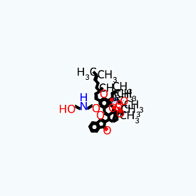 COC(=O)/C(C)=C\CC12OC(C)(C)C3CC(C1=O)C1C4=C(OC5=C1C32Oc1c(CC=C(C)C)c2c(c(OCCNCCO)c15)C=CC(C)(CCC=C(C)C)O2)c1ccccc1C4=O